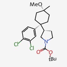 CO[C@]1(C)CC[C@@](c2ccc(Cl)c(Cl)c2)([C@@H]2CCN(C(=O)OC(C)(C)C)C2)CC1